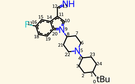 CC(C)(C)C1CCC(N2CCC(n3cc(C=N)c4cc(F)ccc43)CC2)CC1